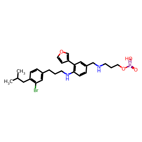 CC(C)Cc1ccc(CCCNc2ccc(CNCCCO[PH](=O)O)cc2-c2ccoc2)cc1Br